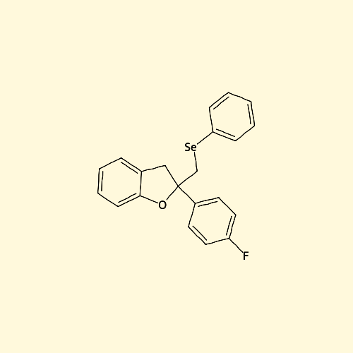 Fc1ccc(C2(C[Se]c3ccccc3)Cc3ccccc3O2)cc1